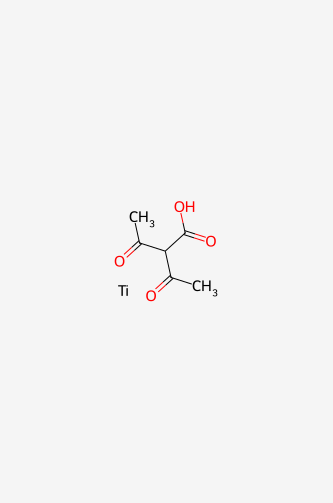 CC(=O)C(C(C)=O)C(=O)O.[Ti]